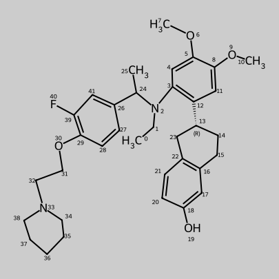 CCN(c1cc(OC)c(OC)cc1[C@@H]1CCc2cc(O)ccc2C1)C(C)c1ccc(OCCN2CCCCC2)c(F)c1